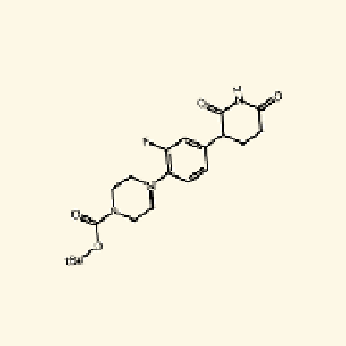 CC(C)(C)OC(=O)N1CCN(c2ccc(C3CCC(=O)NC3=O)cc2F)CC1